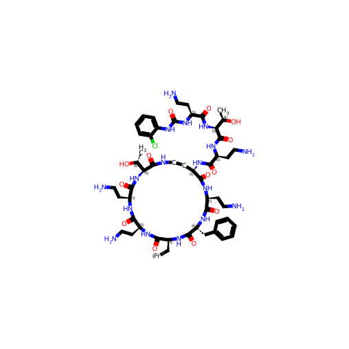 CC(C)C[C@@H]1NC(=O)[C@@H](Cc2ccccc2)NC(=O)[C@H](CCN)NC(=O)[C@@H](NC(=O)[C@H](CCN)NC(=O)[C@@H](NC(=O)[C@H](CCN)NC(=O)Nc2ccccc2Cl)[C@@H](C)O)CCNC(=O)[C@H]([C@@H](C)O)NC(=O)[C@H](CCN)NC(=O)[C@H](CCN)NC1=O